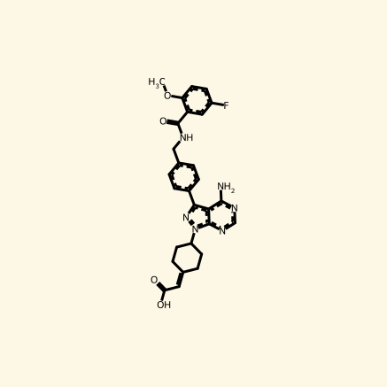 COc1ccc(F)cc1C(=O)NCc1ccc(-c2nn(C3CCC(=CC(=O)O)CC3)c3ncnc(N)c23)cc1